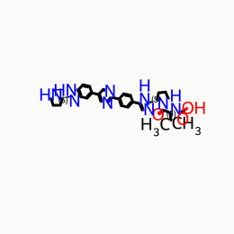 CC(C)[C@H](NC(=O)O)C(=O)N1CCC[C@H]1c1ncc(-c2ccc(-c3ncc(-c4ccc5[nH]c([C@@H]6CCCN6)nc5c4)cn3)cc2)[nH]1